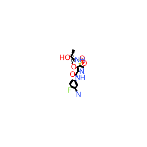 C#C[C@@H](O)[C@@H]1COc2c(cn(C)c2C(=O)Nc2ccc(F)c(C#N)c2)S(=O)(=O)N1